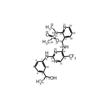 CC(O)c1cccc(Nc2ncc(C(F)(F)F)c(NCc3cccnc3N(C)S(C)(=O)=O)n2)c1